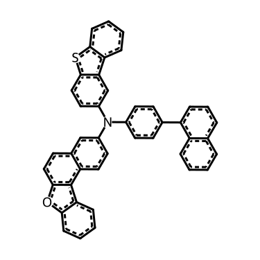 c1ccc2c(-c3ccc(N(c4ccc5c(ccc6oc7ccccc7c65)c4)c4ccc5sc6ccccc6c5c4)cc3)cccc2c1